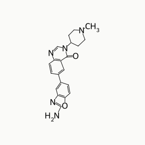 CN1CCC(n2cnc3ccc(-c4ccc5oc(N)nc5c4)cc3c2=O)CC1